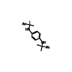 CC(=O)C(C)(C)Nc1ccc(NC(C)(C)C(C)=O)cc1